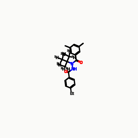 [2H]C([2H])([2H])C(N(NC(=O)c1ccc(CC)cc1)C(=O)c1cc(C)cc(C)c1)(C([2H])([2H])[2H])C([2H])([2H])[2H]